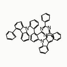 c1ccc(-c2nc(-c3ccccc3)nc(-c3c(-c4ccccc4-n4c5ccccc5c5c(-c6ccccc6)cccc54)cccc3-n3c4ccccc4c4ccccc43)n2)cc1